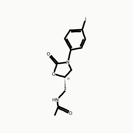 CC(=O)NC[C@H]1CN(c2ccc(I)cc2)C(=O)O1